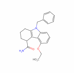 NC(=O)C1CCCc2c1c1c(OCC(=O)O)cccc1n2Cc1ccccc1